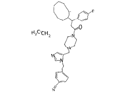 N#Cc1ccc(Cn2cncc2CN2CCN(C(=O)CC(c3ccc(F)cc3)C3[CH]CCCCCC3)CC2)cc1.[CH2].[CH2]